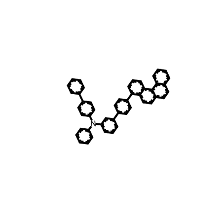 c1ccc(-c2ccc(N(c3ccccc3)c3cccc(-c4ccc(-c5cccc6c5ccc5ccc7ccccc7c56)cc4)c3)cc2)cc1